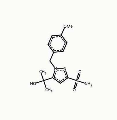 COc1ccc(Cn2nc(S(N)(=O)=O)cc2C(C)(C)O)cc1